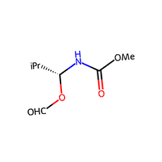 COC(=O)N[C@H](OC=O)C(C)C